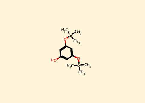 C[Si](C)(C)Oc1cc(O)cc(O[Si](C)(C)C)c1